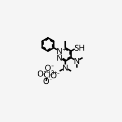 Cc1c(S)c(N(C)C)c(N(C)C)n[n+]1-c1ccccc1.[O-][Cl+3]([O-])([O-])[O-]